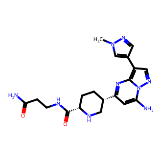 Cn1cc(-c2cnn3c(N)cc([C@H]4CC[C@@H](C(=O)NCCC(N)=O)NC4)nc23)cn1